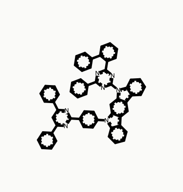 c1ccc(-c2cc(-c3ccccc3)nc(-c3ccc(-n4c5ccccc5c5cc6c7ccccc7n(-c7nc(-c8ccccc8)nc(-c8ccccc8-c8ccccc8)n7)c6cc54)cc3)n2)cc1